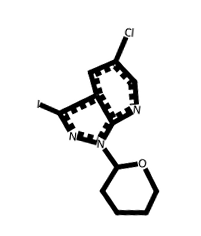 Clc1cnc2c(c1)c(I)nn2C1CCCCO1